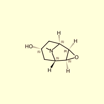 CN1[C@H]2C[C@H](O)C[C@H]1[C@H]1O[C@H]12